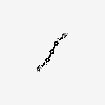 C=[N+](/C=C\N(C)C)CCCOc1ccc(C#Cc2ccc(C#Cc3ccc(OCCC[n+]4ccn(C)c4)cc3)cc2)cc1